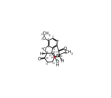 COc1ccc2c3c1O[C@H]1C(=O)CC[C@@]4(O)[C@@H](C2=O)N(C)CC[C@]314